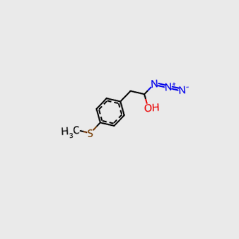 CSc1ccc(CC(O)N=[N+]=[N-])cc1